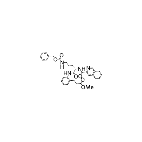 COC(=O)CCc1ccccc1NC(=O)[C@H](CCCNC(=O)OCc1ccccc1)NC(=O)c1cc2ccccc2cn1